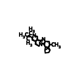 Cc1cc2nc3c4cnc(C(C)(C)C)cc4ccn3c2c2c1C1CCC2C1